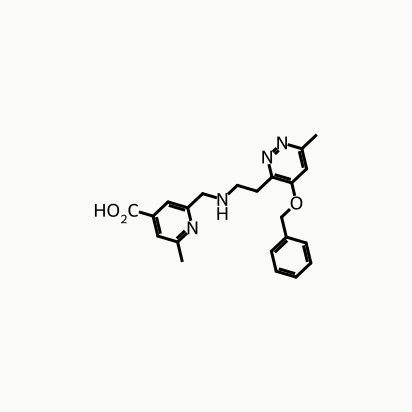 Cc1cc(OCc2ccccc2)c(CCNCc2cc(C(=O)O)cc(C)n2)nn1